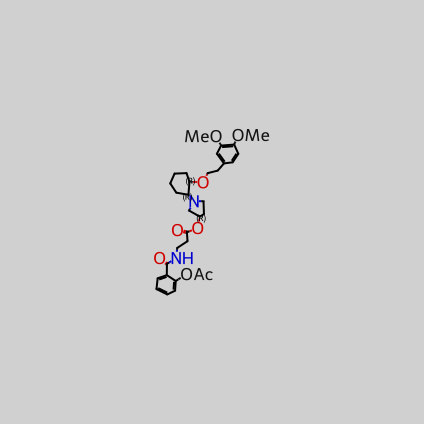 COc1ccc(CCO[C@@H]2CCCC[C@H]2N2CC[C@@H](OC(=O)CCNC(=O)c3ccccc3OC(C)=O)C2)cc1OC